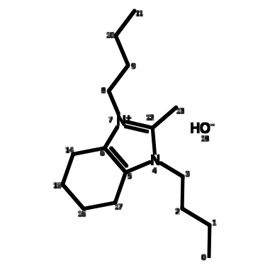 CCCCn1c2c([n+](CCCC)c1C)CCCC2.[OH-]